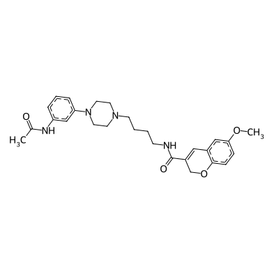 COc1ccc2c(c1)C=C(C(=O)NCCCCN1CCN(c3cccc(NC(C)=O)c3)CC1)CO2